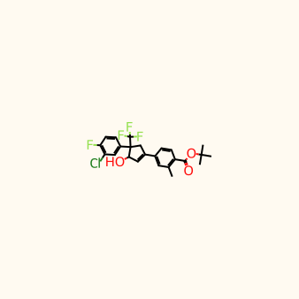 Cc1cc(C2=CC(O)C(c3ccc(F)c(Cl)c3)(C(F)(F)F)C2)ccc1C(=O)OC(C)(C)C